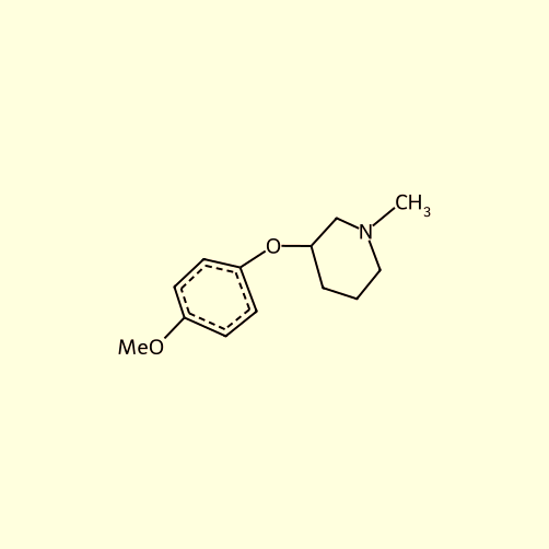 COc1ccc(OC2CCCN(C)C2)cc1